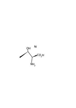 C[C@@H](O)[C@H](N)C(=O)O.[Ni]